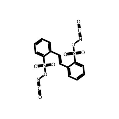 O=C=NOS(=O)(=O)c1ccccc1C=Cc1ccccc1S(=O)(=O)ON=C=O